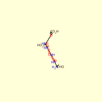 N[C@@](C=O)(CF)CCCCNC(=O)COCCOCCNC(=O)COCCOCCNC(=O)CC[C@H](NC(=O)CCCCCCCCCOc1ccc(C(=O)O)cc1)C(=O)O